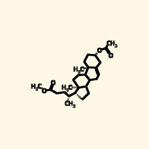 COC(=O)CC[C@@H](C)[C@H]1CCC2C3CC=C4C[C@@H](OC(C)=O)CC[C@]4(C)C3CC[C@@]21C